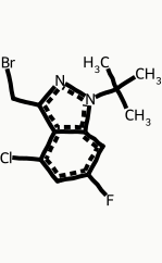 CC(C)(C)n1nc(CBr)c2c(Cl)cc(F)cc21